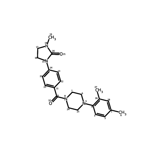 Cc1ccc(N2CCN(C(=O)c3ccc(N4CCN(C)C4=O)cc3)CC2)c(C)c1